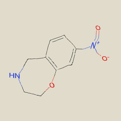 O=[N+]([O-])c1ccc2c(c1)OCCNC2